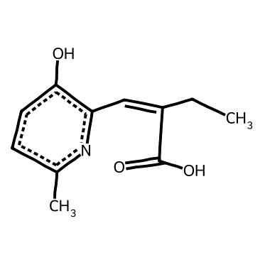 CCC(=Cc1nc(C)ccc1O)C(=O)O